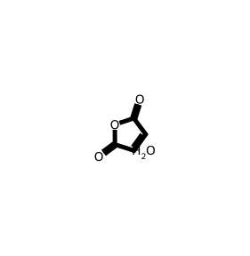 O.O=C1C=CC(=O)O1